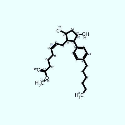 CCCCCCc1ccc(C2C(C/C=C\CCCC(=O)OC)C(Cl)C[C@H]2O)cc1